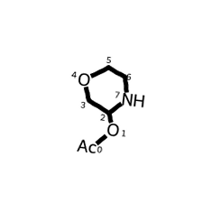 CC(=O)OC1COCCN1